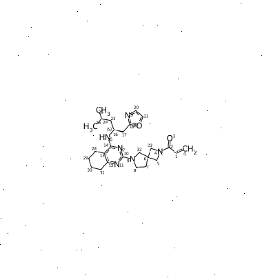 C=CC(=O)N1CC2(CCN(c3nc4c(c(N[C@H](Cc5ncco5)CC(C)C)n3)CCCC4)C2)C1